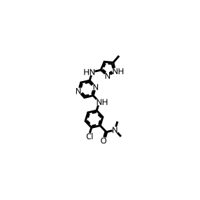 Cc1cc(Nc2cncc(Nc3ccc(Cl)c(C(=O)N(C)C)c3)n2)n[nH]1